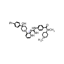 CC(C)c1ccc(C2(O)CCN(c3ccc[nH]/c3=N\C(=N)Nc3ccc(C(=O)N(C)C4CCN(C)CC4)cc3)CC2)cc1